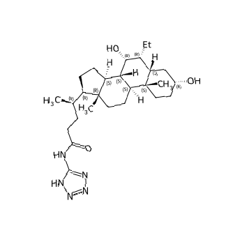 CC[C@H]1[C@@H](O)[C@@H]2[C@H](CC[C@]3(C)[C@@H]([C@H](C)CCC(=O)Nc4nnn[nH]4)CC[C@@H]23)[C@@]2(C)CC[C@@H](O)C[C@@H]12